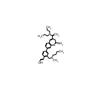 C=C(C1=Cc2ccc(-c3ccc(/C=C/O)c(CN(C)CCCC)c3)cc2N=C(N)C1)N(CCC)CCC